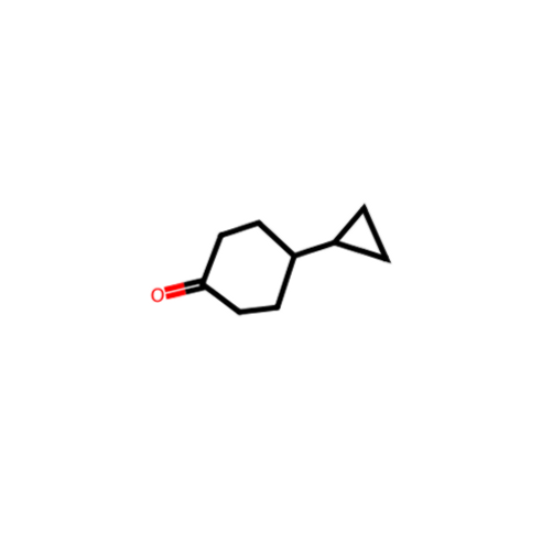 O=C1CCC(C2CC2)CC1